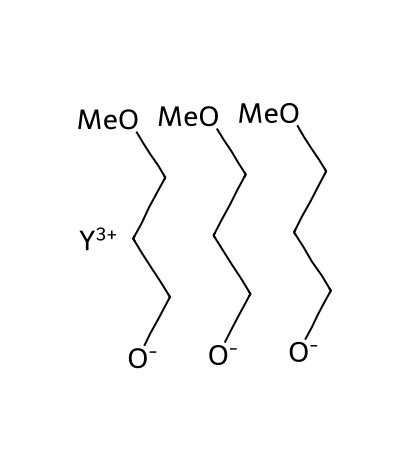 COCCC[O-].COCCC[O-].COCCC[O-].[Y+3]